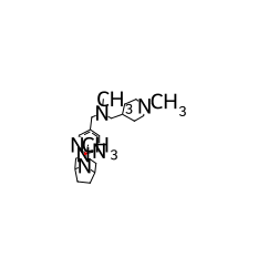 CN1CCC(CN(C)Cc2cnc(N3C4CCC3CN(C)C4)nc2)CC1